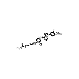 COc1ccc(-c2cnc3c(Nc4ccc(NCCOCCOC(N)=O)c(Cl)c4)nccn23)cc1F